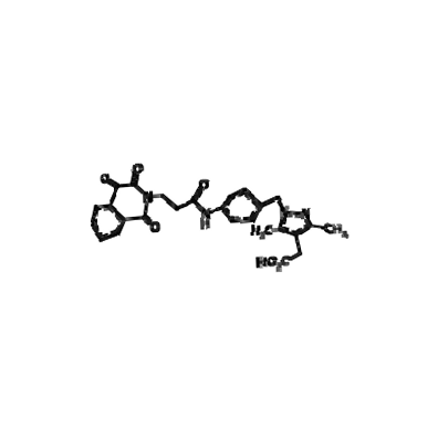 CCOC(=O)Cc1c(C)nn(Cc2ccc(NC(=O)CCN3C(=O)C(=O)c4ccccc4C3=O)cc2)c1C